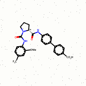 COc1cc(C(F)(F)F)ccc1NC(=O)N1CCC[C@@H]1C(=O)Nc1ccc(-c2ccc(C(=O)O)cc2)cc1